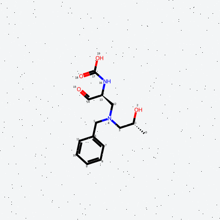 C[C@@H](O)CN(Cc1ccccc1)C[C@@H](C=O)NC(=O)O